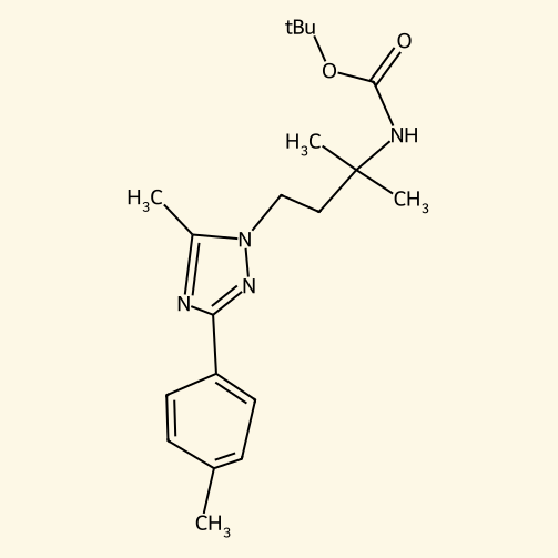 Cc1ccc(-c2nc(C)n(CCC(C)(C)NC(=O)OC(C)(C)C)n2)cc1